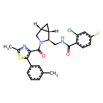 Cc1cccc(-c2sc(C)nc2C(=O)N2C[C@@H]3C[C@@H]3[C@H]2CNC(=O)c2ccc(F)cc2Cl)c1